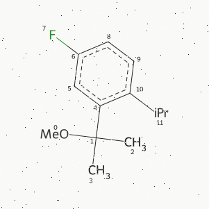 COC(C)(C)c1cc(F)ccc1C(C)C